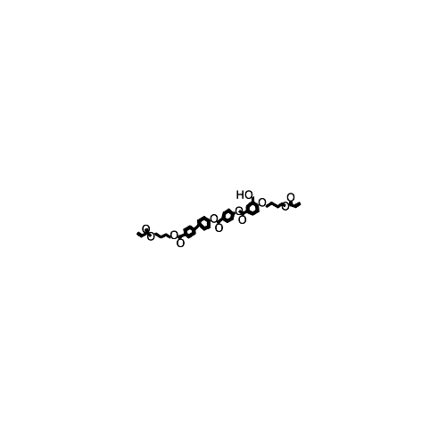 C=CC(=O)OCCCCOC(=O)c1ccc(-c2ccc(OC(=O)c3ccc(OC(=O)c4ccc(OCCCCOC(=O)C=C)c(CO)c4)cc3)cc2)cc1